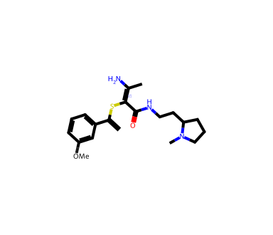 C=C(S/C(C(=O)NCCC1CCCN1C)=C(/C)N)c1cccc(OC)c1